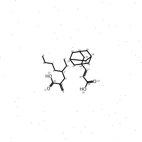 C=C(CC(CC)CCCC)C(=O)O.O=C(O)C=CC12CC3CC(CC(C3)C1)C2